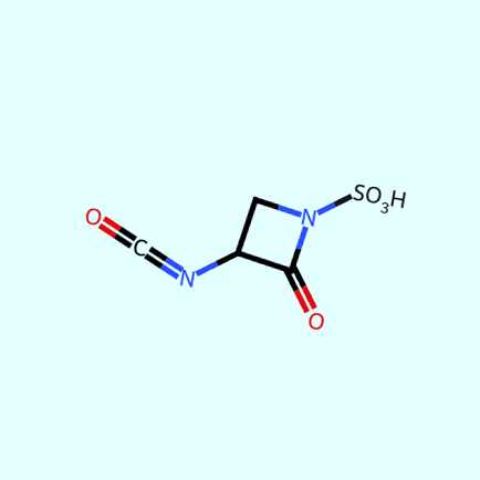 O=C=NC1CN(S(=O)(=O)O)C1=O